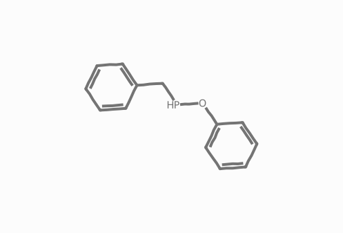 c1ccc(CPOc2ccccc2)cc1